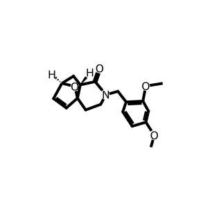 COc1ccc(CN2CCC34C=C[C@@H](C[C@@H]3C2=O)O4)c(OC)c1